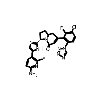 Nc1ccc(-c2cnc([C@@H]3CCC4CC(c5c(-n6cnnn6)ccc(Cl)c5F)=CC(=O)N43)[nH]2)c(F)n1